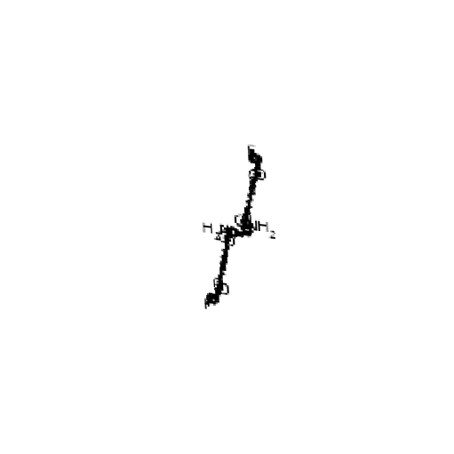 Nc1ccc(Cc2ccc(N)c(C(=O)OCCCCCCCCCCCCOC(=O)/C=C/c3ccc(F)cc3)c2)cc1C(=O)OCCCCCCCCCCCCOC(=O)/C=C/c1ccc(F)cc1